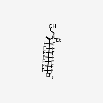 C=C(N(CC)CCO)C(F)(F)C(F)(F)C(F)(F)C(F)(F)C(F)(F)C(F)(F)C(F)(F)C(F)(F)F